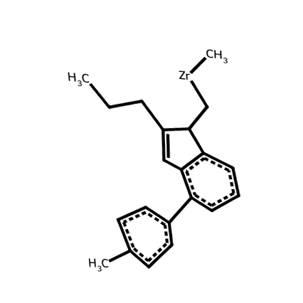 CCCC1=Cc2c(-c3ccc(C)cc3)cccc2C1[CH2][Zr][CH3]